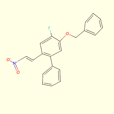 O=[N+]([O-])/C=C/c1cc(F)c(OCc2ccccc2)cc1-c1ccccc1